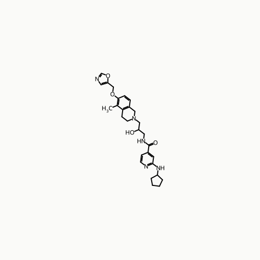 Cc1c(OCc2cnco2)ccc2c1CCN(CC(O)CNC(=O)c1ccnc(NC3CCCC3)c1)C2